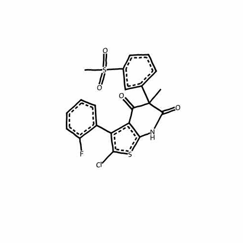 CC1(c2cccc(S(C)(=O)=O)c2)C(=O)Nc2sc(Cl)c(-c3ccccc3F)c2C1=O